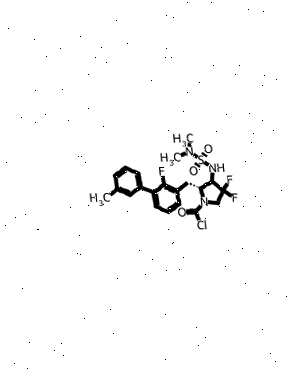 Cc1cccc(-c2cccc(C[C@@H]3C(NS(=O)(=O)N(C)C)C(F)(F)CN3C(=O)Cl)c2F)c1